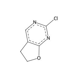 Clc1ncc2c(n1)OCC2